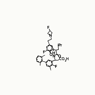 Cc1cc(-c2c(C)cccc2C)cc(C(CC(=O)O)NC(=O)C(CC(C)C)n2cc(CCN3CC(F)C3)cc(F)c2=O)c1F